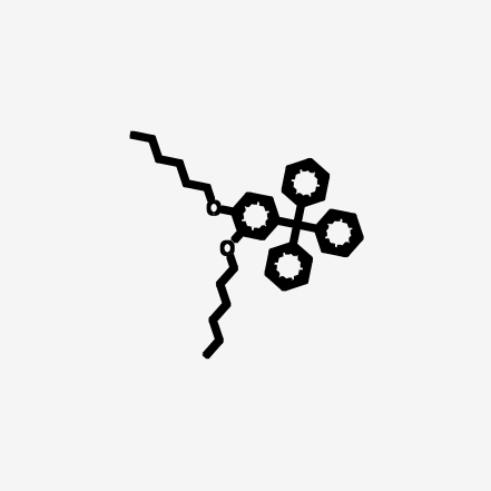 CCCCCCOc1ccc(C(c2ccccc2)(c2ccccc2)c2ccccc2)cc1OCCCCCC